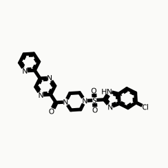 O=C(c1cnc(-c2ccccn2)cn1)N1CCN(S(=O)(=O)c2nc3cc(Cl)ccc3[nH]2)CC1